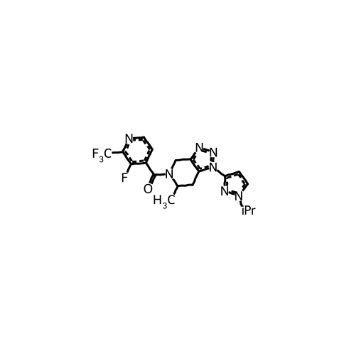 CC1Cc2c(nnn2-c2ccn(C(C)C)n2)CN1C(=O)c1ccnc(C(F)(F)F)c1F